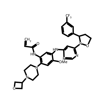 C=CC(=O)Nc1cc(Nc2cc(N3OCCC3c3cccc(C(F)(F)F)c3)ncn2)c(OC)cc1N1CCN(C2COC2)CC1